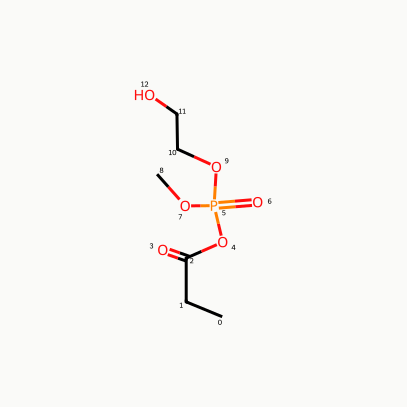 CCC(=O)OP(=O)(OC)OCCO